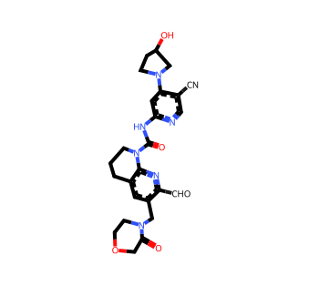 N#Cc1cnc(NC(=O)N2CCCc3cc(CN4CCOCC4=O)c(C=O)nc32)cc1N1CCC(O)C1